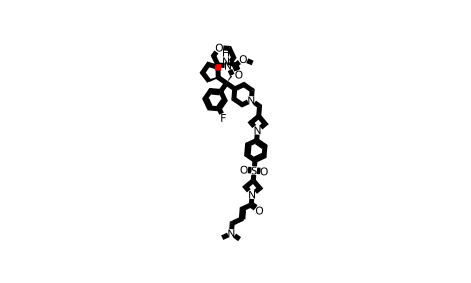 COC(=O)N[C@H]1CCC[C@@H]1[C@](CN1CCOCC1)(c1cccc(F)c1)C1CCN(CC2CN(c3ccc(S(=O)(=O)C4CN(C(=O)/C=C/CN(C)C)C4)cc3)C2)CC1